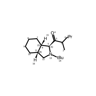 CC(C)C(C)C(=O)[C@@H]1[C@H]2CCCC[C@H]2CN1C(C)(C)C